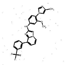 COc1cc(Nc2nc3c(-c4cccc(C(F)(F)F)c4)cccn3n2)ccc1-n1cnc(C)c1